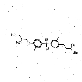 CCC(CC)(c1ccc(CCC(O)C(C)(C)C)c(C)c1)c1ccc(OC[C@@H](O)CO)c(C)c1